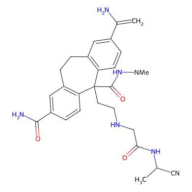 C=C(N)c1ccc2c(c1)CCc1cc(C(N)=O)ccc1C2(CCNCC(=O)NC(C)C#N)C(=O)NNC